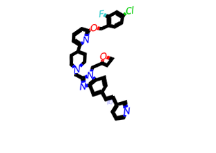 Fc1cc(Cl)ccc1COc1cccc(C2CCN(Cc3nc4cc(/C=C/c5cccnc5)ccc4n3CC3CCO3)CC2)n1